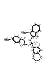 CC(C)(C)c1ccc2c(c1)OC(CC(C)(Cc1[nH]c3ccccc3c1C(C)(C)C)c1ccc3c(c1)OCCO3)O2